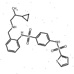 CC(CNCc1ccccc1NS(=O)(=O)c1ccc(NS(=O)(=O)c2cccs2)cc1)C1CC1